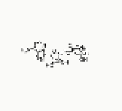 Nc1ccnn2c(C3O[C@H](COP(=O)(O)CP(=O)(O)O)[C@@H](O)[C@H]3O)nnc12